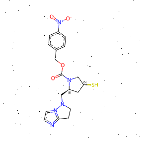 O=C(OCc1ccc([N+](=O)[O-])cc1)N1C[C@@H](S)C[C@H]1CN1CCc2nccn21